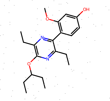 CCc1nc(-c2ccc(O)cc2OC)c(CC)nc1OC(CC)CC